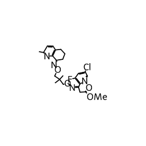 COC(=O)C/C(=N/OCC(C)(C)CO/N=C1\CCCc2ccc(C)nc21)c1ncc(Cl)cc1F